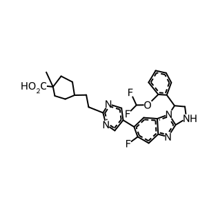 CC1(C(=O)O)CCC(CCc2ncc(-c3cc4c(cc3F)nc3n4C(c4ccccc4OC(F)F)CN3)cn2)CC1